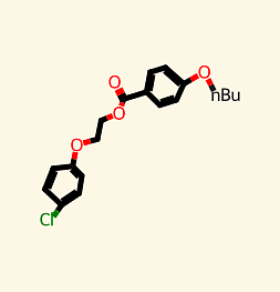 CCCCOc1ccc(C(=O)OCCOc2ccc(Cl)cc2)cc1